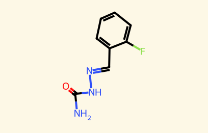 NC(=O)NN=Cc1ccccc1F